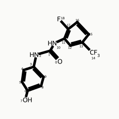 O=C(Nc1ccc(O)cc1)Nc1cc(C(F)(F)F)ccc1F